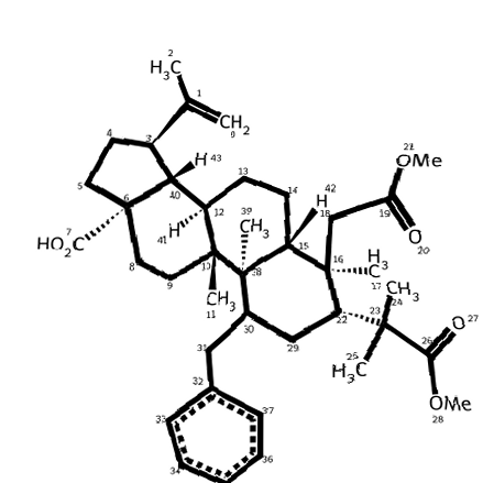 C=C(C)[C@@H]1CC[C@]2(C(=O)O)CC[C@]3(C)[C@H](CC[C@@H]4[C@@](C)(CC(=O)OC)[C@H](C(C)(C)C(=O)OC)CC(Cc5ccccc5)[C@]43C)[C@@H]12